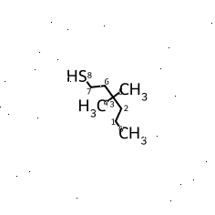 CCCC(C)(C)CCS